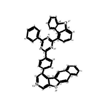 c1ccc(-c2nc(-c3ccc(-c4cncc5oc6cc7ccccc7cc6c45)cc3)nc(-c3cccc4oc5ccccc5c34)n2)cc1